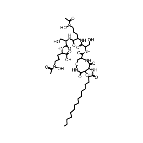 CCCCCCCCCCCCCCCC(=O)NC1C(=O)NC(C(=O)NC(CO)C(=O)NC(CCCN(O)C(C)=O)C(=O)NC(CO)C(=O)NC(CCCN(O)C(C)=O)C(=O)O)CCNC(=O)C1O